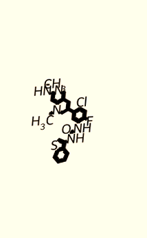 CCN1CC(c2cc(NC(=O)Nc3csc4ccccc34)c(F)cc2Cl)=Cc2cnc(NC)cc21